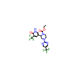 CCOC(=O)N1CCN(c2ncc(C(F)(F)F)cn2)CC1c1c[nH]c(=O)c(C(F)(F)F)c1